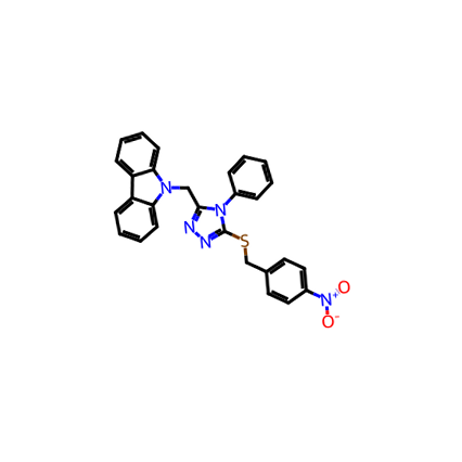 O=[N+]([O-])c1ccc(CSc2nnc(Cn3c4ccccc4c4ccccc43)n2-c2ccccc2)cc1